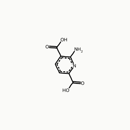 Nc1nc(C(=O)O)ccc1C(=O)O